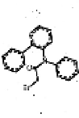 O=C(CBr)N(c1ccccc1)c1ccccc1-c1ccccc1